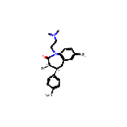 COc1ccc([C@@H]2Cc3cc(C(F)(F)F)ccc3N(CCN(C)C)C(=O)[C@@H]2C(C)C)cc1